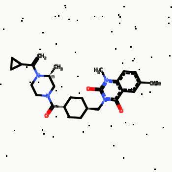 C=C(C1CC1)N1CCN(C(=O)[C@H]2CC[C@H](Cn3c(=O)c4cc(OC)ccc4n(C)c3=O)CC2)C[C@H]1C